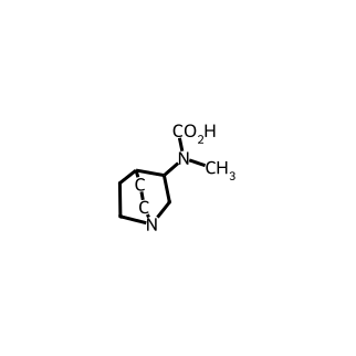 CN(C(=O)O)C1CN2CCC1CC2